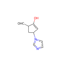 O=CC1CC(n2ccnc2)C=C1O